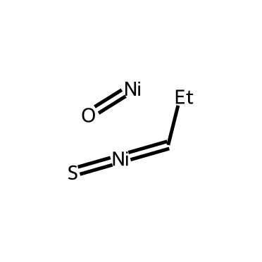 CC[CH]=[Ni]=[S].[O]=[Ni]